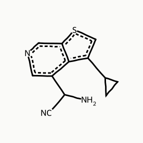 N#CC(N)c1cncc2scc(C3CC3)c12